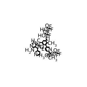 CCOc1c(C(C)n2nc(-c3cccnc3)c3c(N)ncnc32)cc(Cl)c(C)c1-c1ccc(C(=O)N(C)C)nc1.O=C(O)C(F)(F)F.O=C(O)C(F)(F)F.O=C(O)C(F)(F)F